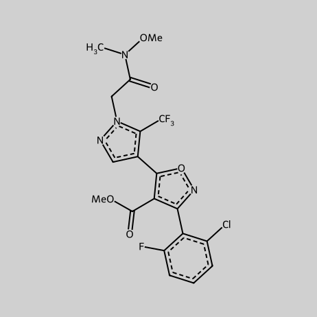 COC(=O)c1c(-c2c(F)cccc2Cl)noc1-c1cnn(CC(=O)N(C)OC)c1C(F)(F)F